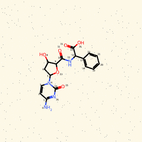 Nc1ccn(C2CC(O)C(C(=O)NC(C(=O)O)c3ccccc3)O2)c(=O)n1